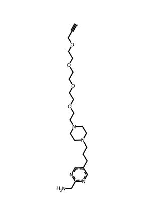 C#CCOCCOCCOCCOCCN1CCN(CCCc2cnc(CN)nc2)CC1